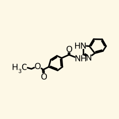 CCOC(=O)c1ccc(C(=O)Nc2nc3ccccc3[nH]2)cc1